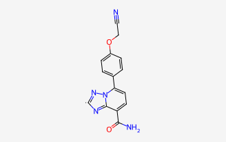 N#CCOc1ccc(-c2ccc(C(N)=O)c3n[c]nn23)cc1